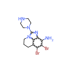 Nc1c(Br)c(Br)c2c3c1nc(N1CCNCC1)n3CCC2